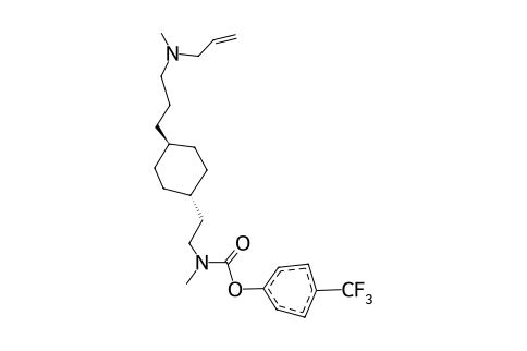 C=CCN(C)CCC[C@H]1CC[C@H](CCN(C)C(=O)Oc2ccc(C(F)(F)F)cc2)CC1